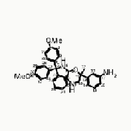 COc1ccc(C(NC2CNCC(C)(c3cccc(N)c3)O2)(c2ccccc2)c2ccc(OC)cc2)cc1